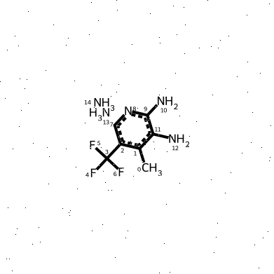 Cc1c(C(F)(F)F)cnc(N)c1N.N.N